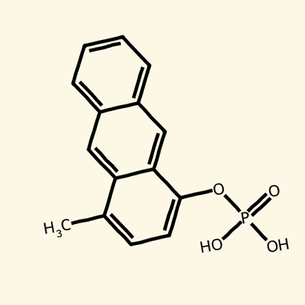 Cc1ccc(OP(=O)(O)O)c2cc3ccccc3cc12